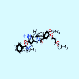 COCCCOc1cc(C(=O)N(C[C@@H]2CNC[C@H]2CN(C)C(=O)c2ccccc2)C(C)C)ccc1OC